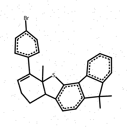 CC1(C)c2ccccc2-c2c1ccc1c2SC2(C)C(c3ccc(Br)cc3)=CCCC12